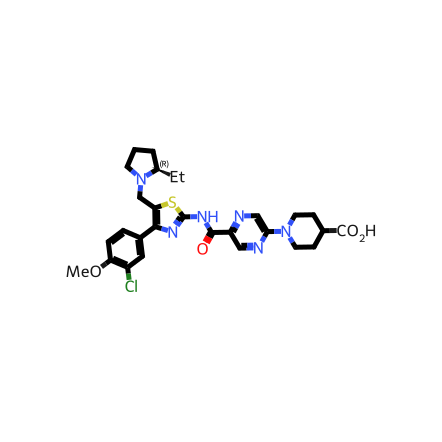 CC[C@@H]1CCCN1Cc1sc(NC(=O)c2cnc(N3CCC(C(=O)O)CC3)cn2)nc1-c1ccc(OC)c(Cl)c1